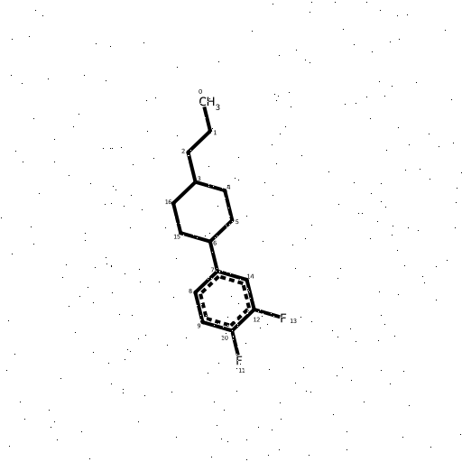 CCCC1CCC(c2ccc(F)c(F)c2)CC1